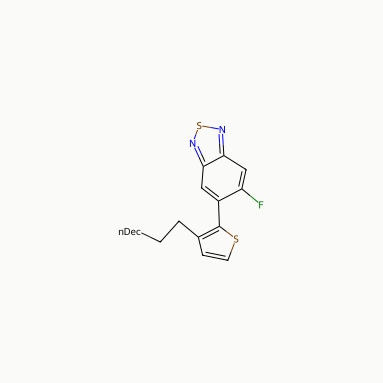 CCCCCCCCCCCCc1ccsc1-c1cc2nsnc2cc1F